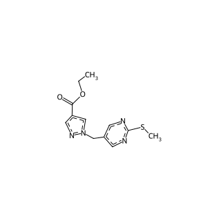 CCOC(=O)c1cnn(Cc2cnc(SC)nc2)c1